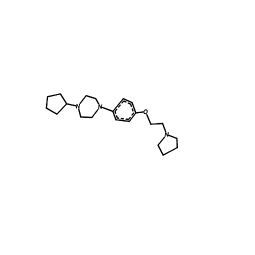 c1cc(N2CCN(C3CCCC3)CC2)ccc1OCCN1CCCC1